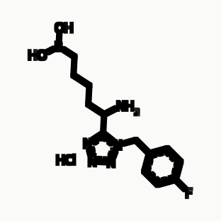 Cl.NC(CCCCB(O)O)c1nnnn1Cc1ccc(F)cc1